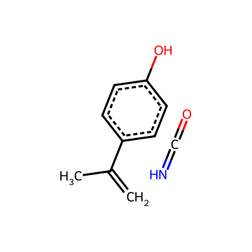 C=C(C)c1ccc(O)cc1.N=C=O